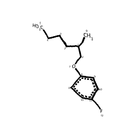 CC(CCCC(=O)O)COc1ccc(F)cc1